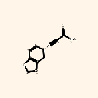 COC(=O)C#C[C@H]1C=CC2=C(C1)OCO2